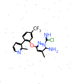 CC1=CC(Oc2cc(C(F)(F)F)ccc2-c2cccnc2C)=NN(C(=N)Cl)C1N